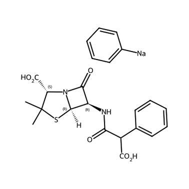 CC1(C)S[C@@H]2[C@H](NC(=O)C(C(=O)O)c3ccccc3)C(=O)N2[C@H]1C(=O)O.[Na][c]1ccccc1